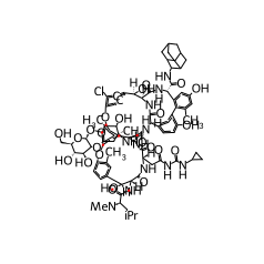 CN[C@H](CC(C)C)C(=O)N[C@H]1C(=O)N[C@@H](CC(=O)NC(=O)NC2CC2)C(=O)N[C@H]2C(=O)N[C@H]3C(=O)N[C@H](C(=O)N[C@H](C(=O)NC4C5CC6CC(C5)CC4C6)c4cc(O)cc(C)c4-c4cc3ccc4O)[C@H](O)c3ccc(c(Cl)c3)Oc3cc2cc(c3O[C@@H]2O[C@H](CO)[C@@H](O)[C@H](O)[C@H]2O[C@H]2C[C@](C)(N)[C@H](O)[C@H](C)O2)Oc2ccc(cc2C)[C@H]1O